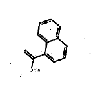 C=C(OC)c1cccc2ccccc12